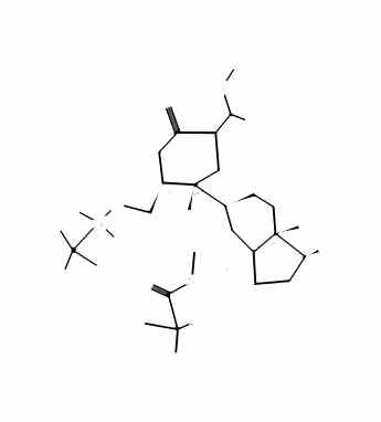 COC(C)C1C[C@](C)([C@H]2CC[C@]3(C)[C@@H](C)CC[C@H]3[C@@H]2CNC(=O)C(F)(F)F)[C@@H](CO[Si](C)(C)C(C)(C)C)CC1=O